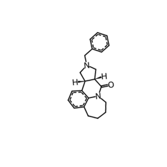 O=C1[C@H]2CN(Cc3ccccc3)C[C@H]2c2cccc3c2N1CCCC3